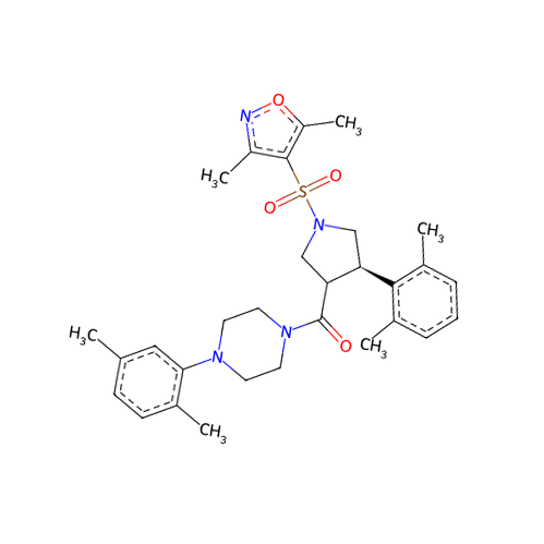 Cc1ccc(C)c(N2CCN(C(=O)C3CN(S(=O)(=O)c4c(C)noc4C)C[C@H]3c3c(C)cccc3C)CC2)c1